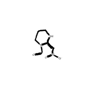 O=CN1CCC[SH]C1=C[N+](=O)[O-]